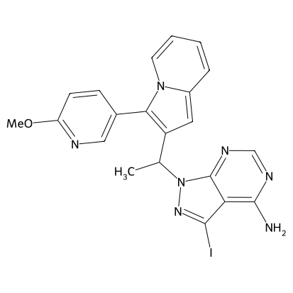 COc1ccc(-c2c(C(C)n3nc(I)c4c(N)ncnc43)cc3ccccn23)cn1